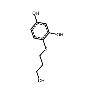 OCCCSc1ccc(O)cc1O